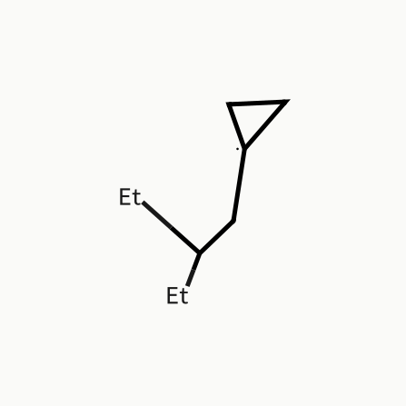 CCC(CC)C[C]1CC1